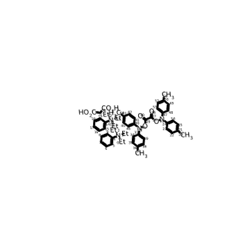 CC[N+](CC)(CC)c1ccccc1.CC[N+](CC)(CC)c1ccccc1.Cc1ccc(N(OC(=O)C(=O)ON(c2ccc(C)cc2)c2ccc(C)cc2)c2ccc(C)cc2)cc1.O=C(O)CC(=O)O